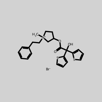 C[N+]1(CCc2ccccc2)CCC(OC(=O)C(O)(c2cccs2)c2cccs2)C1.[Br-]